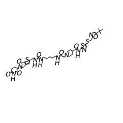 CC(C)(C)c1cnc(CSc2cnc(NC(=O)C3CCN(CC(=O)NCCCCCNC(=O)NCc4cc5c(s4)C(=O)N(C4CCC(=O)NC4=O)C5)CC3)s2)o1